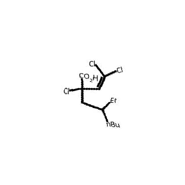 CCCCC(CC)CC(Cl)(C=C(Cl)Cl)C(=O)O